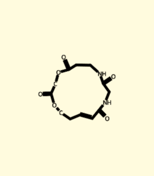 O=C1/C=C/CCOC(=O)COC(=O)CCNC(=O)CN1